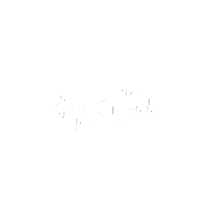 CC1([C@H]2CCCCN2Cc2cc(F)c(S(=O)(=O)Nc3ncns3)cc2F)C=NNC1